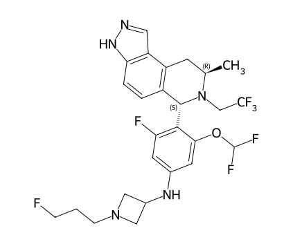 C[C@@H]1Cc2c(ccc3[nH]ncc23)[C@@H](c2c(F)cc(NC3CN(CCCF)C3)cc2OC(F)F)N1CC(F)(F)F